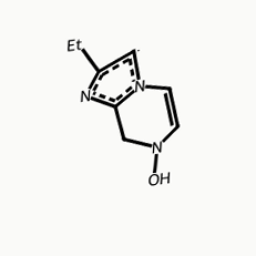 CCc1[c]n2c(n1)CN(O)C=C2